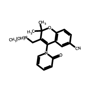 CN(O)CC1=C(n2ccccc2=O)c2cc(C#N)ccc2OC1(C)C